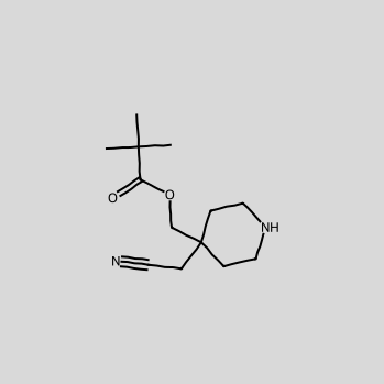 CC(C)(C)C(=O)OCC1(CC#N)CCNCC1